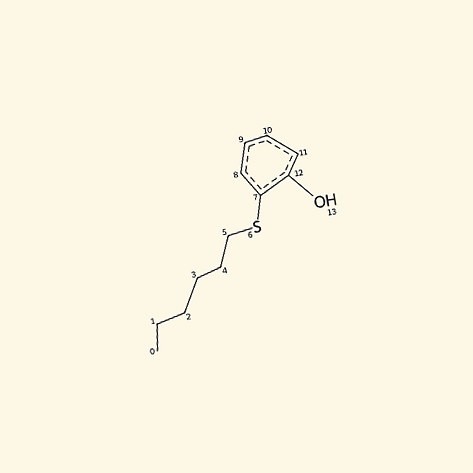 CCCCCCSc1ccccc1O